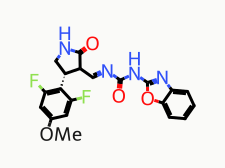 COc1cc(F)c([C@@H]2CNC(=O)C2/C=N/C(=O)Nc2nc3ccccc3o2)c(F)c1